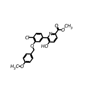 COC(=O)c1ccc(O)c(-c2ccc(Cl)c(OCc3ccc(OC)cc3)c2)n1